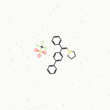 C(=C(c1ccccc1)c1ccc(-c2ccccc2)cc1)[S+]1CCCC1.O=S(=O)([O-])C(F)(F)F